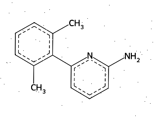 Cc1cccc(C)c1-c1cccc(N)n1